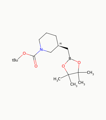 CC(C)(C)OC(=O)N1CCC[C@@H](CB2OC(C)(C)C(C)(C)O2)C1